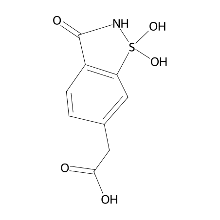 O=C(O)Cc1ccc2c(c1)S(O)(O)NC2=O